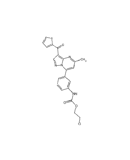 Cc1cc(-c2cccc(NC(=O)OCCCl)c2)n2ncc(C(=O)c3cccs3)c2n1